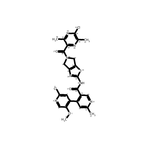 COc1cnc(Cl)cc1-c1cc(C)ncc1C(=O)Nc1nc2c(s1)CN(C(=O)c1nc(C)c(Cl)nc1C)C2